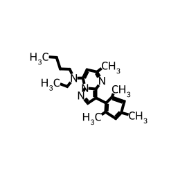 CCCCN(CC)c1cc(C)nc2c(-c3c(C)cc(C)cc3C)cnn12